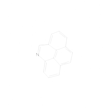 c1cc2ccc3cccc4ncc(c1)c2c34